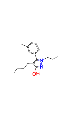 CCCCc1c(O)nn(CCC)c1-c1cccc(C)c1